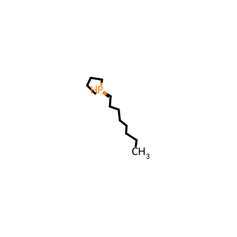 CCCCCCCC=[PH]1CCCC1